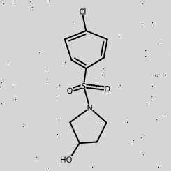 O=S(=O)(c1ccc(Cl)cc1)N1CCC(O)C1